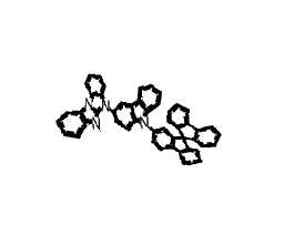 c1ccc2c(c1)-c1ccccc1C21c2ccccc2-c2ccc(-n3c4ccccc4c4cc(-n5c6ccccc6n6c7ccccc7nc56)ccc43)cc21